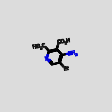 CCc1cnc(C(=O)O)c(C(=O)O)c1N